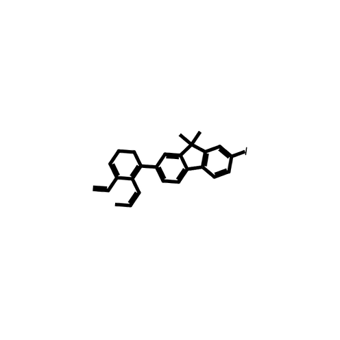 C=CC1=CCCC(c2ccc3c(c2)C(C)(C)c2cc(I)ccc2-3)=C1/C=C\C